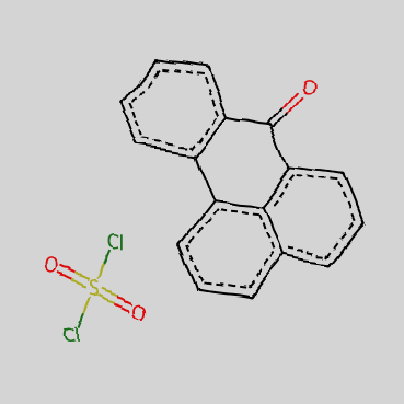 O=C1c2ccccc2-c2cccc3cccc1c23.O=S(=O)(Cl)Cl